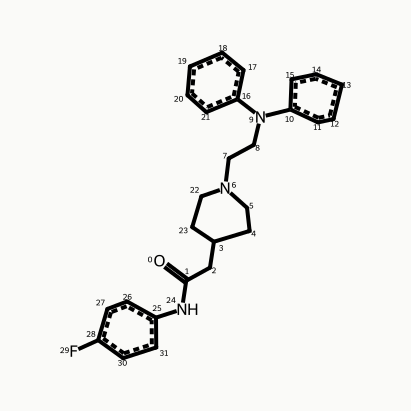 O=C(CC1CCN(CCN(c2ccccc2)c2ccccc2)CC1)Nc1ccc(F)cc1